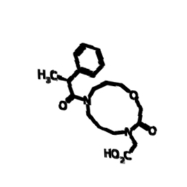 C[C@H](C(=O)N1CCCOCC(=O)N(CC(=O)O)CCC1)c1ccccc1